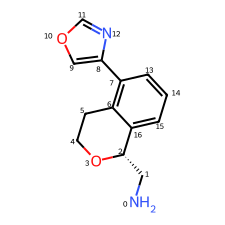 NC[C@@H]1OCCc2c(-c3cocn3)cccc21